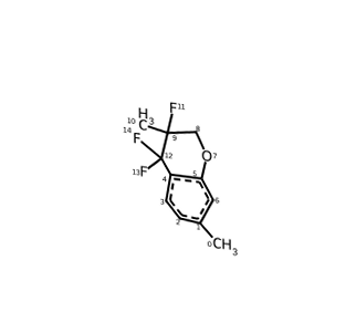 Cc1ccc2c(c1)OCC(C)(F)C2(F)F